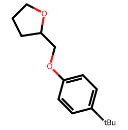 CC(C)(C)c1ccc(OCC2CCCO2)cc1